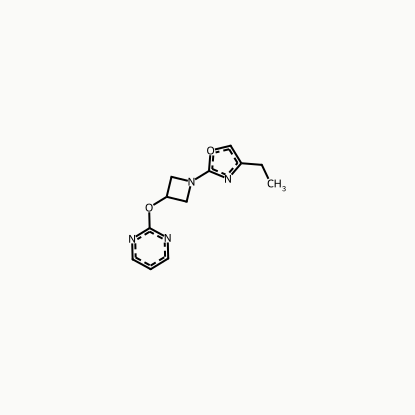 CCc1coc(N2CC(Oc3ncccn3)C2)n1